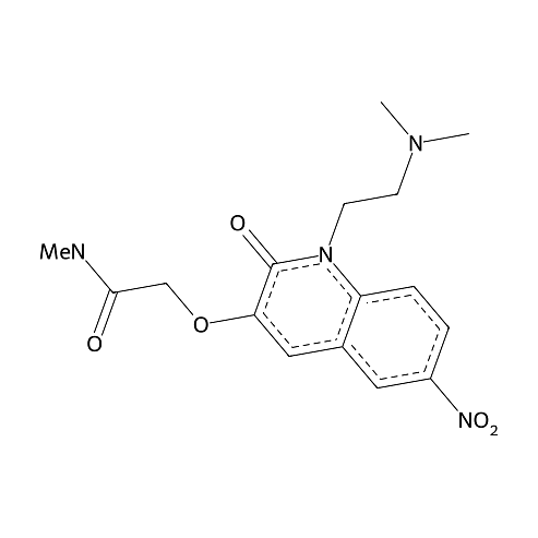 CNC(=O)COc1cc2cc([N+](=O)[O-])ccc2n(CCN(C)C)c1=O